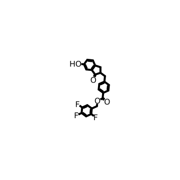 O=C(OCc1cc(F)c(F)cc1F)c1ccc(CC2Cc3ccc(O)cc3C2=O)cc1